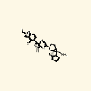 CCn1cc2c(Cl)c(-c3n[nH]c4nc(N5CC[C@@H]6[C@H](C5)[C@@]6(CN)c5ccccc5F)cnc34)ccc2n1